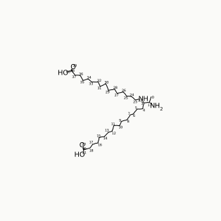 CC(N)C(CCCCCCCCCCCCCCCC(=O)O)NCCCCCCCCCCCCCCCC(=O)O